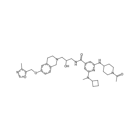 CC(=O)N1CCC(Nc2cc(C(=O)NCC(O)CN3CCc4cc(OCc5ocnc5C)ccc4C3)cc(N(C)C3CCC3)n2)CC1